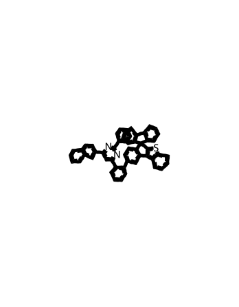 c1ccc(-c2nc(-c3ccc4ccccc4c3)cc(-c3ccccc3-c3ccc4c(c3)-c3c(sc5ccccc35)C43c4ccccc4-c4ccccc43)n2)cc1